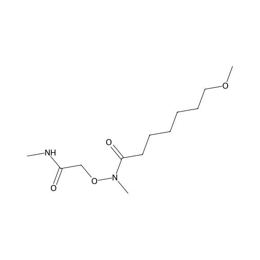 CNC(=O)CON(C)C(=O)CCCCCCOC